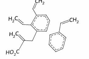 C=Cc1cccc(CC(=C)C(=O)O)c1C=C.C=Cc1ccccc1